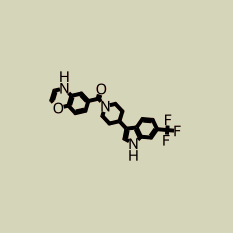 O=C(c1ccc2c(c1)NC=CO2)N1CCC(c2c[nH]c3cc(C(F)(F)F)ccc23)CC1